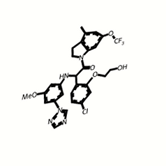 COc1cc(NC(C(=O)N2CCc3c(C)cc(OC(F)(F)F)cc32)c2ccc(Cl)cc2OCCO)cc(-n2cncn2)c1